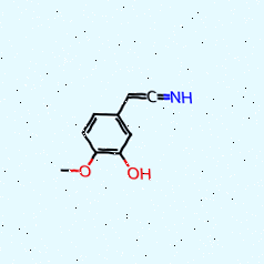 COc1ccc(C=C=N)cc1O